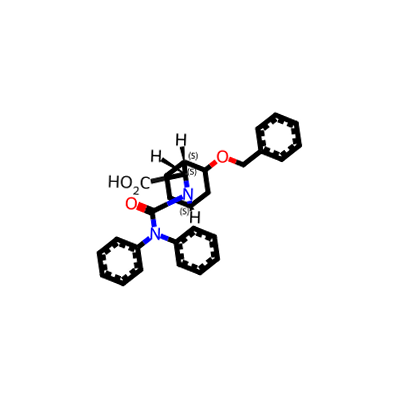 O=C(O)[C@@H]1[C@@H]2CC[C@@H](CC2OCc2ccccc2)N1C(=O)N(c1ccccc1)c1ccccc1